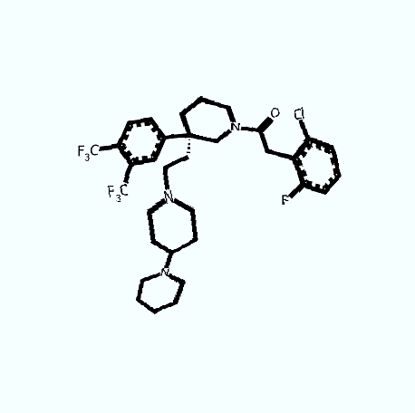 O=C(Cc1c(F)cccc1Cl)N1CCC[C@](CCN2CCC(N3CCCCC3)CC2)(c2ccc(C(F)(F)F)c(C(F)(F)F)c2)C1